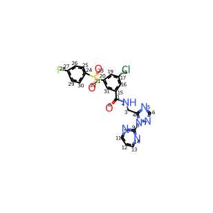 O=C(NCc1ncnn1-c1ncccn1)c1cc(Cl)cc(S(=O)(=O)c2ccc(F)cc2)c1